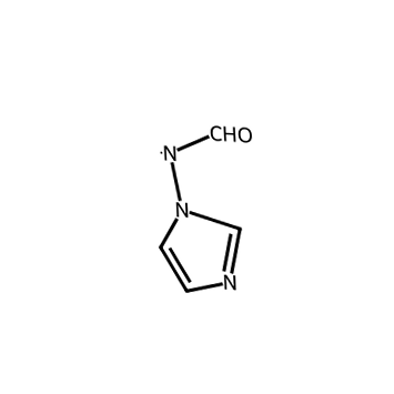 O=C[N]n1ccnc1